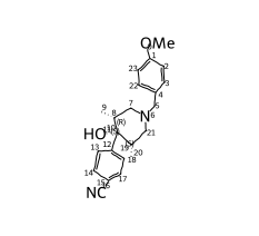 COc1ccc(CN2C[C@@H](C)[C@](O)(c3ccc(C#N)cc3)[C@@H](C)C2)cc1